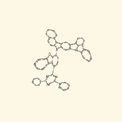 c1ccc(-c2nc(-c3ccccc3)nc(-c3ccc(-n4c5cc6c(cc5c5c7ccccc7ccc54)c4cccc5c7ccccc7n6c54)c4oc5ccccc5c34)n2)cc1